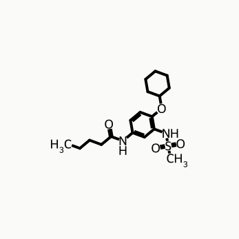 CCCCC(=O)Nc1ccc(OC2CCCCC2)c(NS(C)(=O)=O)c1